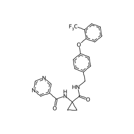 O=C(NC1(C(=O)NCc2ccc(Oc3ccccc3C(F)(F)F)cc2)CC1)c1cncnc1